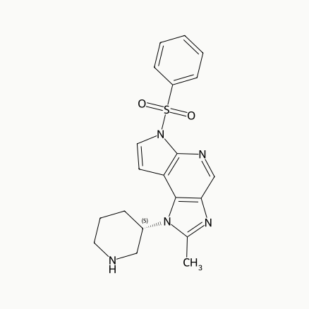 Cc1nc2cnc3c(ccn3S(=O)(=O)c3ccccc3)c2n1[C@H]1CCCNC1